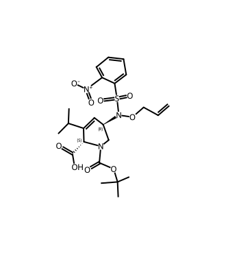 C=CCON([C@@H]1C=C(C(C)C)[C@@H](C(=O)O)N(C(=O)OC(C)(C)C)C1)S(=O)(=O)c1ccccc1[N+](=O)[O-]